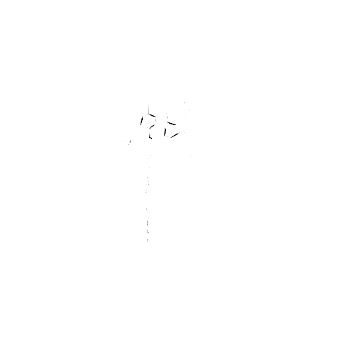 CCCCCCCCCCCCCCCCCC(=O)O.CCCCCCCCCCCCCCCCCCCCCCO.COC(=O)c1ccc(O)cc1.OCc1ccccc1